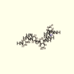 Cc1ccc(N/C(=C\C(=N)C(C)(C)C)NC(=O)N[C@H]2CC[C@@H](Oc3ccc(=N)n(C(=N)CC4CCNCC4)c3)c3ccccc32)cc1